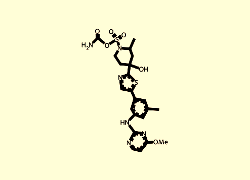 COc1ccnc(Nc2cc(C)cc(-c3cnc(C4(O)CCN(S(=O)(=O)OC(N)=O)C(C)C4)s3)c2)n1